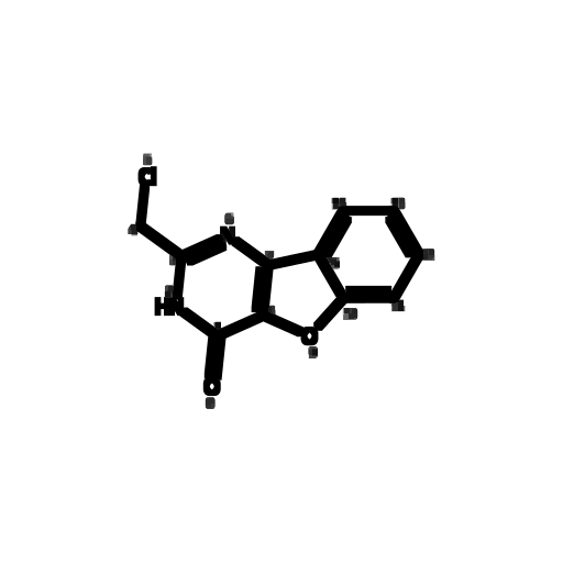 O=c1[nH]c(CCl)nc2c1oc1ccccc12